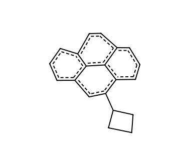 c1cc2ccc3cccc4c(C5CCC5)cc(c1)c2c34